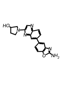 Nc1nc2cc(-c3ccc4ncc(N5CCC(O)C5)nc4c3)ccc2o1